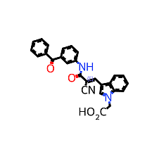 N#C/C(=C\c1cn(CC(=O)O)c2ccccc12)C(=O)Nc1cccc(C(=O)c2ccccc2)c1